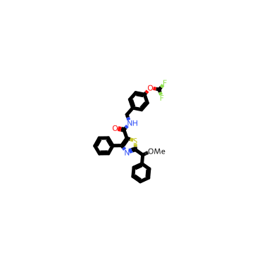 COC(c1ccccc1)c1nc(-c2ccccc2)c(C(=O)NCc2ccc(OC(F)F)cc2)s1